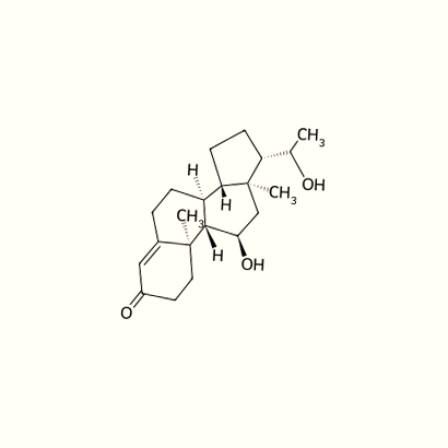 CC(O)[C@H]1CC[C@H]2[C@@H]3CCC4=CC(=O)CC[C@]4(C)[C@H]3[C@H](O)C[C@]12C